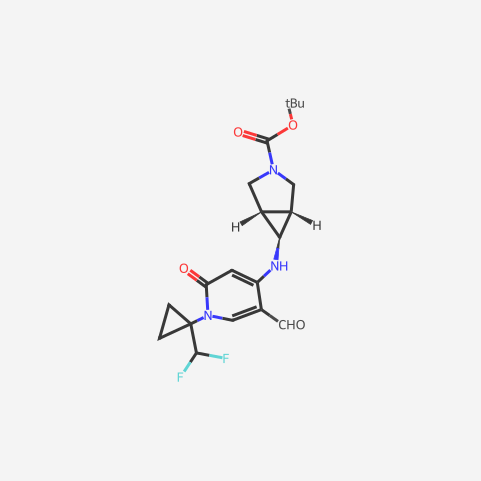 CC(C)(C)OC(=O)N1C[C@@H]2[C@H](C1)[C@H]2Nc1cc(=O)n(C2(C(F)F)CC2)cc1C=O